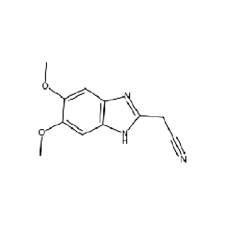 COc1cc2nc(CC#N)[nH]c2cc1OC